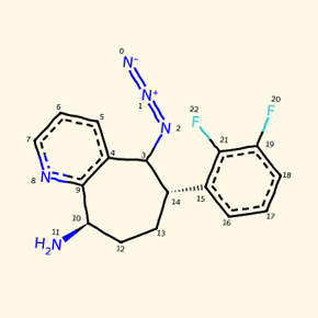 [N-]=[N+]=NC1c2cccnc2[C@H](N)CC[C@H]1c1cccc(F)c1F